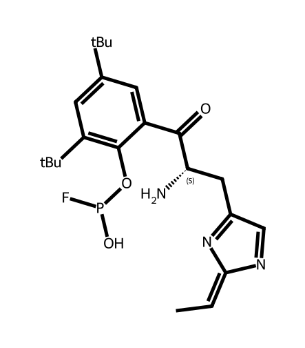 CC=C1N=CC(C[C@H](N)C(=O)c2cc(C(C)(C)C)cc(C(C)(C)C)c2OP(O)F)=N1